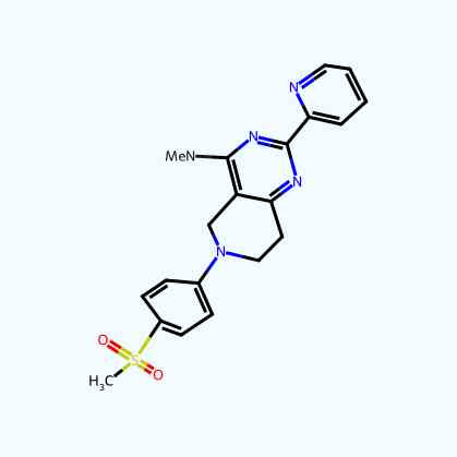 CNc1nc(-c2ccccn2)nc2c1CN(c1ccc(S(C)(=O)=O)cc1)CC2